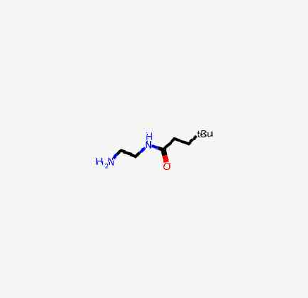 CC(C)(C)CCC(=O)NCCN